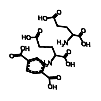 NC(CCC(=O)O)C(=O)O.NC(CCC(=O)O)C(=O)O.O=C(O)c1ccc(C(=O)O)cc1